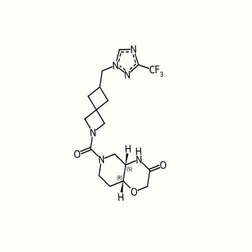 O=C1CO[C@@H]2CCN(C(=O)N3CC4(CC(Cn5cnc(C(F)(F)F)n5)C4)C3)C[C@@H]2N1